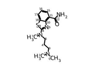 CN(C)CCCN(C)c1nc2c(C(N)=O)c[c]cc2s1